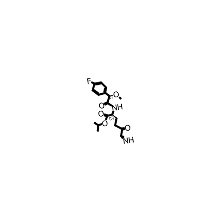 CO[C@H](C(=O)N[C@@H](CCC(=O)C=N)C(=O)OC(C)C)c1ccc(F)cc1